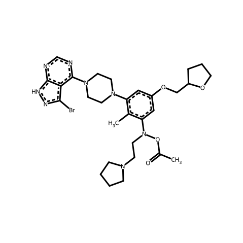 CC(=O)ON(CCN1CCCC1)c1cc(OCC2CCCO2)cc(N2CCN(c3ncnc4[nH]nc(Br)c34)CC2)c1C